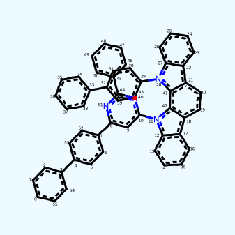 c1ccc(-c2ccc(-c3cc(-n4c5ccccc5c5ccc6c7ccccc7n(-c7ccc(-c8ccccc8)cc7)c6c54)nc(-c4ccccc4)n3)cc2)cc1